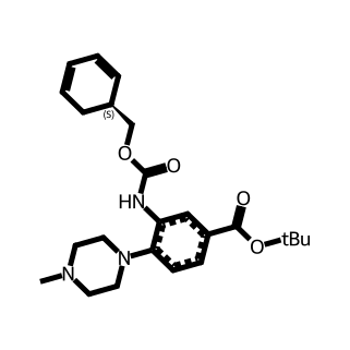 CN1CCN(c2ccc(C(=O)OC(C)(C)C)cc2NC(=O)OC[C@@H]2C=CC=CC2)CC1